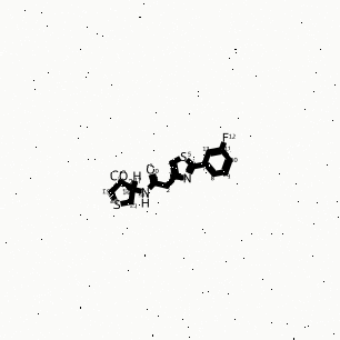 O=C(Cc1csc(-c2cccc(F)c2)n1)NC1(C(=O)O)CCSC1